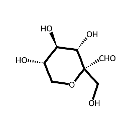 O=C[C@]1(CO)OC[C@H](O)[C@@H](O)[C@@H]1O